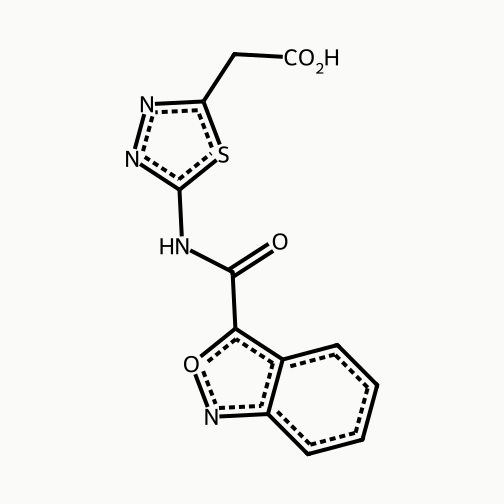 O=C(O)Cc1nnc(NC(=O)c2onc3ccccc23)s1